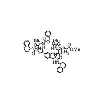 COC(=O)CSC(C)(C)[C@H](NC(=O)OC(C)(C)C)C(=O)N1Cc2cc([C@H]3C[C@@H](C(=O)N[C@@H]4CCCc5ccccc54)N(C(=O)[C@@H](NC(=O)OCc4ccccc4)C(C)(C)C)C3)ccc2C[C@H]1C(=O)N[C@@H]1CCCc2ccccc21